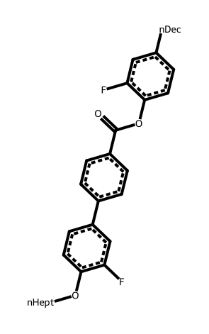 CCCCCCCCCCc1ccc(OC(=O)c2ccc(-c3ccc(OCCCCCCC)c(F)c3)cc2)c(F)c1